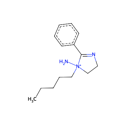 CCCCC[N+]1(N)CCN=C1c1ccccc1